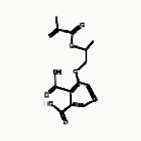 C=C(C)C(=O)OC(C)COc1cccc(C(=O)O)c1C(=O)O